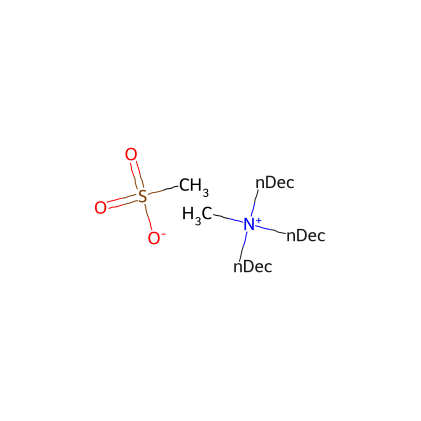 CCCCCCCCCC[N+](C)(CCCCCCCCCC)CCCCCCCCCC.CS(=O)(=O)[O-]